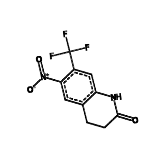 O=C1CCc2cc([N+](=O)[O-])c(C(F)(F)F)cc2N1